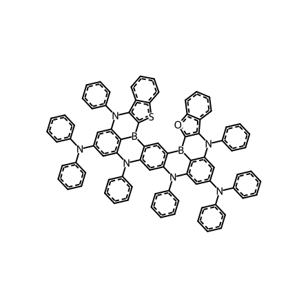 c1ccc(N(c2ccccc2)c2cc3c4c(c2)N(c2ccccc2)c2c(oc5ccccc25)B4c2cc4c(cc2N3c2ccccc2)N(c2ccccc2)c2cc(N(c3ccccc3)c3ccccc3)cc3c2B4c2sc4ccccc4c2N3c2ccccc2)cc1